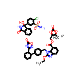 CCOc1nc2cccc(C(=O)OCc3oc(=O)oc3C)c2n1Cc1ccc(-c2ccccc2-c2noc(=O)[n-]2)cc1.NS(=O)(=O)c1cc(C2(O)NC(=O)c3ccccc32)ccc1Cl.[K+]